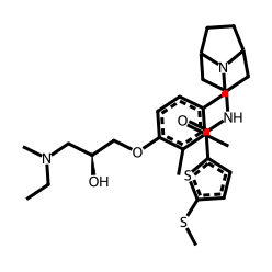 CCN(C)C[C@H](O)COc1ccc(CN2C3CCC2CC(NC(=O)c2ccc(SC)s2)C3)c(C)c1C